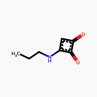 CCCNc1cc(=O)c1=O